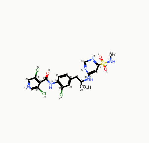 CCCNS(=O)(=O)c1cc(NC(Cc2ccc(NC(=O)c3c(Cl)cncc3Cl)c(Cl)c2)C(=O)O)ncn1